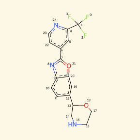 FC(F)(F)c1cc(-c2nc3ccc(C4CNCCO4)cc3o2)ccn1